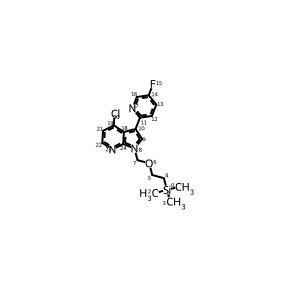 C[Si](C)(C)CCOCn1cc(-c2ccc(F)cn2)c2c(Cl)ccnc21